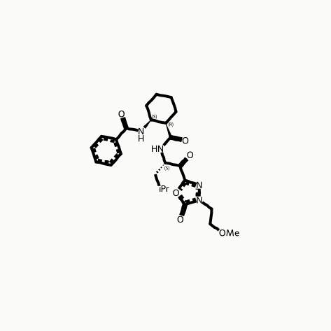 COCCn1nc(C(=O)[C@H](CC(C)C)NC(=O)[C@@H]2CCCC[C@@H]2NC(=O)c2ccccc2)oc1=O